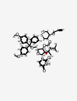 C#CCO[C@@H]1CSSC[C@H]1OP(O[C@H]1[C@@H](F)[C@H](n2ccc(=O)[nH]c2=O)O[C@@H]1COC(c1ccccc1)(c1ccc(OC)cc1)c1ccc(OC)cc1)N(C(C)C)C(C)C